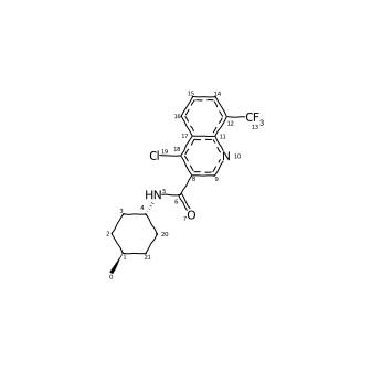 C[C@H]1CC[C@H](NC(=O)c2cnc3c(C(F)(F)F)cccc3c2Cl)CC1